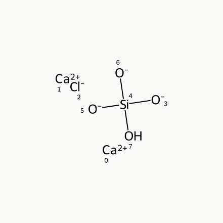 [Ca+2].[Ca+2].[Cl-].[O-][Si]([O-])([O-])O